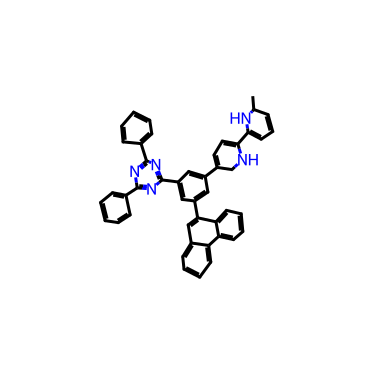 CC1C=CC=C(C2=CC=C(c3cc(-c4nc(-c5ccccc5)nc(-c5ccccc5)n4)cc(-c4cc5ccccc5c5ccccc45)c3)CN2)N1